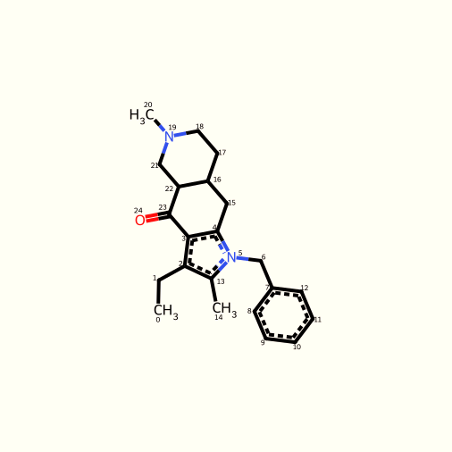 CCc1c2c(n(Cc3ccccc3)c1C)CC1CCN(C)CC1C2=O